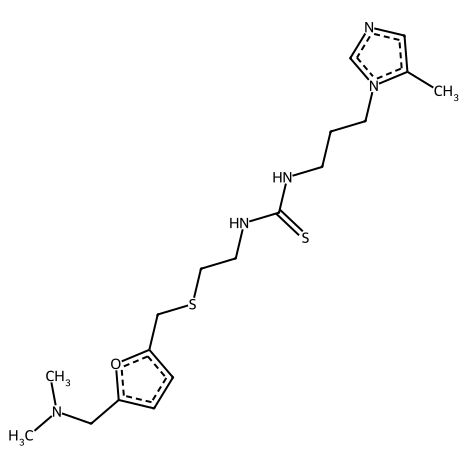 Cc1cncn1CCCNC(=S)NCCSCc1ccc(CN(C)C)o1